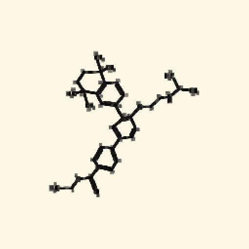 CCOC(=O)c1ccc(-c2ccc(OCCNC(C)C)c(-c3ccc4c(c3)C(C)(C)CCC4(C)C)c2)cc1